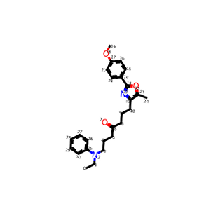 CCN(CCCC(=O)CCCc1nc(-c2ccc(OC)cc2)oc1C)c1ccccc1